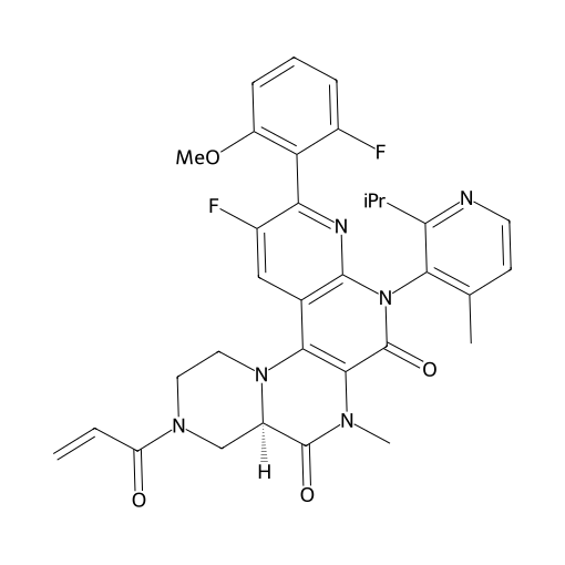 C=CC(=O)N1CCN2c3c(c(=O)n(-c4c(C)ccnc4C(C)C)c4nc(-c5c(F)cccc5OC)c(F)cc34)N(C)C(=O)[C@H]2C1